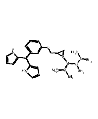 BB(B)B(B)B(B(B)B)B1CC1COc1cccc(C(c2ccc[nH]2)c2ccc[nH]2)c1